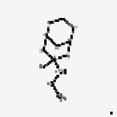 CC1(NSC(F)(F)F)CC2CCCC(C2)C1